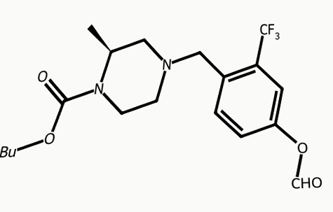 C[C@H]1CN(Cc2ccc(OC=O)cc2C(F)(F)F)CCN1C(=O)OC(C)(C)C